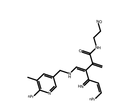 C=C(C(=O)NCCN=O)/C(=C/NCc1cnc(CCC)c(C)c1)C(=N)/C=C\CCC